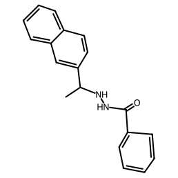 CC(NNC(=O)c1ccccc1)c1ccc2ccccc2c1